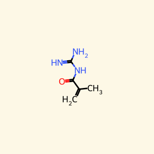 C=C(C)C(=O)NC(=N)N